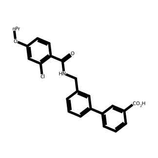 CCCOc1ccc(C(=O)NCc2cccc(-c3cccc(C(=O)O)c3)c2)c(Cl)c1